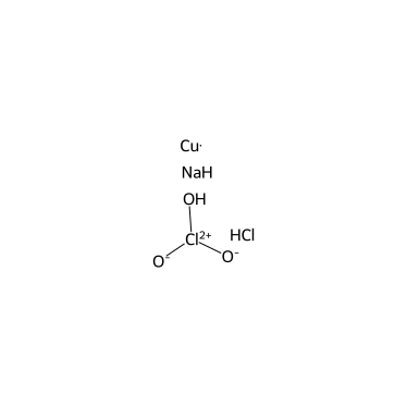 Cl.[Cu].[NaH].[O-][Cl+2]([O-])O